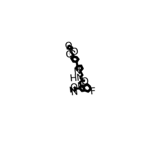 O=C(Cn1c(-c2ncco2)cc2cc(F)ccc21)NCc1ccc(-c2ccc(S(=O)(=O)C3COC3)cc2)cn1